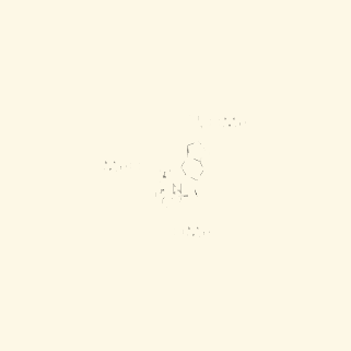 COCCS(=O)(=O)N(c1cc2cc(C(=O)OC)sc2cc1Cl)S(=O)(=O)CCOC